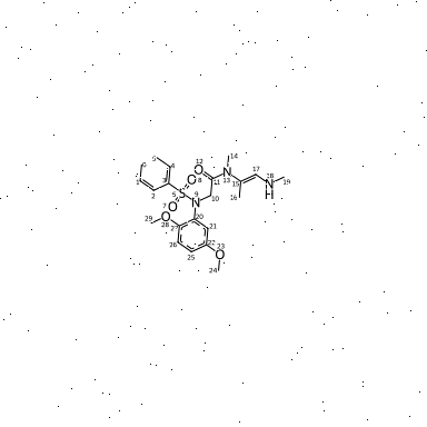 C/C=C\C(=C/C)S(=O)(=O)N(CC(=O)N(C)/C(C)=C/NC)c1cc(OC)ccc1OC